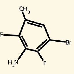 Cc1cc(Br)c(F)c(N)c1F